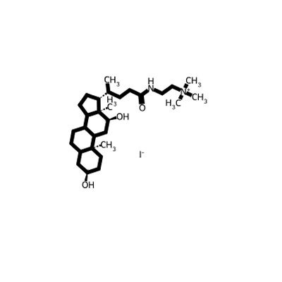 CC(CCC(=O)NCC[N+](C)(C)C)[C@H]1CCC2C3CCC4C[C@H](O)CC[C@]4(C)C3C[C@H](O)[C@@]21C.[I-]